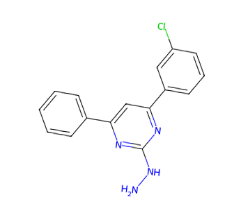 NNc1nc(-c2ccccc2)cc(-c2cccc(Cl)c2)n1